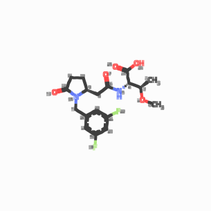 CO[C@H](C)[C@H](NC(=O)C[C@@H]1CCC(=O)N1Cc1cc(F)cc(F)c1)C(=O)O